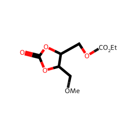 CCOC(=O)OCC1OC(=O)OC1COC